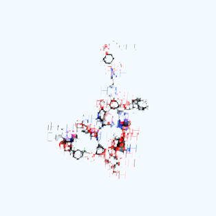 CCCCCOc1ccc(S(=O)(=O)NCCCNCc2c(O)cc3c(c2O)-c2cc(ccc2O)[C@H]2CC(=O)[C@@H]4NC(=O)[C@H](CC(N)=O)CC(=O)[C@H](NC(=O)[C@H](CC)CC(C)C)[C@H](O)c5ccc(c(Cl)c5)Oc5cc4cc(c5O[C@@H]4O[C@H](CO)[C@@H](O)[C@H](O)[C@H]4O[C@H]4C[C@](C)(N)[C@H](O)[C@H](C)O4)Oc4ccc(cc4Cl)[C@@H](O)[C@H](NC2=O)C(=O)N[C@@H]3C(=O)CC2C3CC4CC(C3)CC2C4)cc1